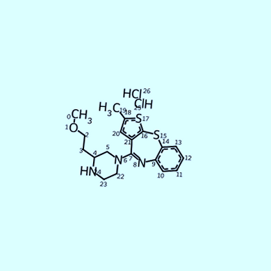 COCCC1CN(C2=Nc3ccccc3Sc3sc(C)cc32)CCN1.Cl.Cl